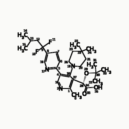 Cc1ncc(-c2ccc(C(F)(F)CC(C)C)cn2)c(N2CCC(C)(C)CC2)c1[C@H](OC(C)(C)C)C(=O)O